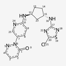 O=c1cccnn1-c1ccc(N[C@H]2CC[C@H](Nc3nsc(Cl)n3)C2)nc1